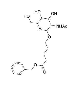 CC(=O)NC1C(OCCCCC(=O)OCc2ccccc2)OC(CO)C(O)C1O